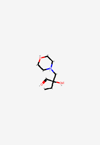 CCC(O)(C=O)CN1CCOCC1